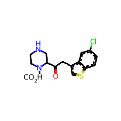 O=C(Cc1csc2ccc(Cl)cc12)C1CNCCN1C(=O)O